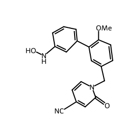 COc1ccc(Cn2ccc(C#N)cc2=O)cc1-c1cccc(NO)c1